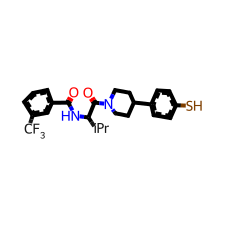 CC(C)C(NC(=O)c1cccc(C(F)(F)F)c1)C(=O)N1CCC(c2ccc(S)cc2)CC1